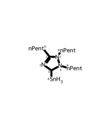 CCCCCC1=N[CH]([SnH3])N(CCCCC)N1CCCCC